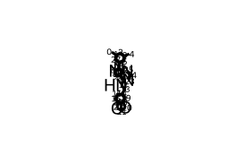 Cc1cc(C)cc(-n2ncc3c(NCc4ccc5c(c4)OCO5)ncnc32)c1